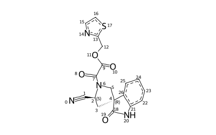 N#C[C@@H]1C[C@@]2(CN1C(=O)C(=O)OCc1nccs1)C(=O)Nc1ccccc12